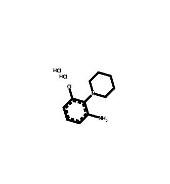 Cl.Cl.Nc1cccc(Cl)c1N1CCCCC1